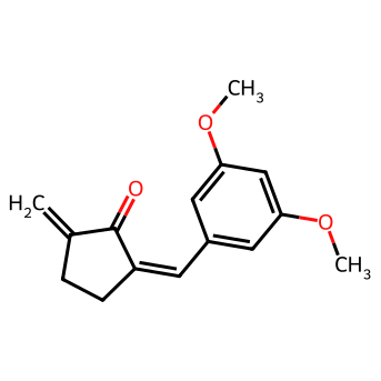 C=C1CCC(=Cc2cc(OC)cc(OC)c2)C1=O